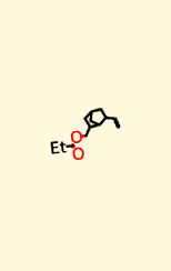 C=CC1CC2CC(COC(=O)CC)C1C2